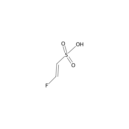 O=S(=O)(O)C=CF